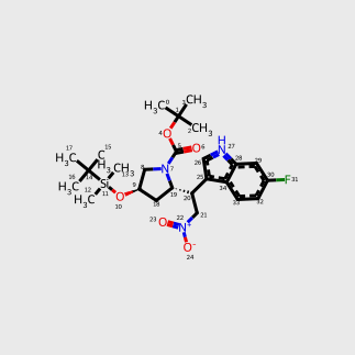 CC(C)(C)OC(=O)N1C[C@H](O[Si](C)(C)C(C)(C)C)C[C@H]1C(C[N+](=O)[O-])c1c[nH]c2cc(F)ccc12